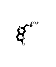 O=C(O)NCc1cc2nc(Cl)ccc2cn1